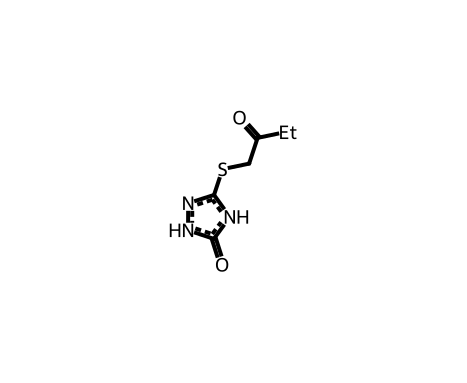 CCC(=O)CSc1n[nH]c(=O)[nH]1